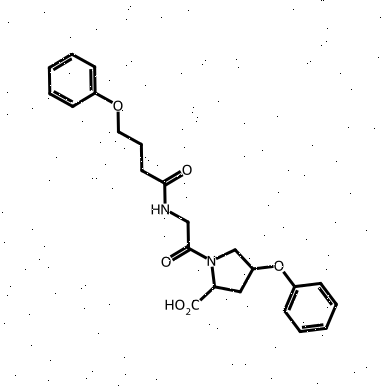 O=C(CCCOc1ccccc1)NCC(=O)N1CC(Oc2ccccc2)CC1C(=O)O